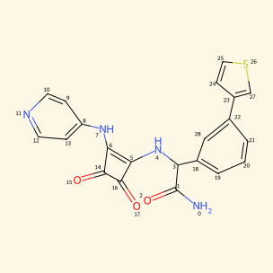 NC(=O)C(Nc1c(Nc2ccncc2)c(=O)c1=O)c1cccc(-c2ccsc2)c1